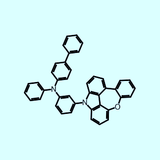 c1ccc(-c2ccc(N(c3ccccc3)c3cccc(-n4c5cccc6oc7ccccc7c7cccc4c7c65)c3)cc2)cc1